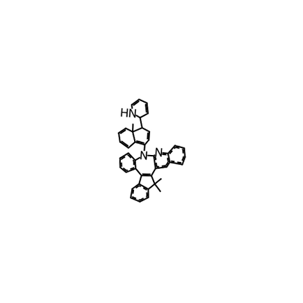 CC1(C)C2=C(c3ccccc3N(C3=C4C=CC=CC4(C)C(C4C=CC=CN4)C=C3)c3nc4ccccc4cc32)c2ccccc21